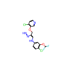 N=N/C(=C\Nc1ccc(Cl)c(OC(F)F)c1)COc1cnccc1Cl